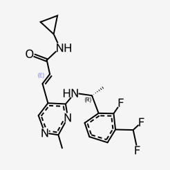 Cc1ncc(/C=C/C(=O)NC2CC2)c(N[C@H](C)c2cccc(C(F)F)c2F)n1